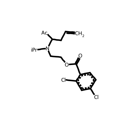 C=CCC(C(C)=O)N(CCOC(=O)c1ccc(Cl)cc1Cl)C(C)C